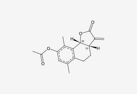 C=C1C(=O)O[C@H]2c3c(C)c(OC(C)=O)cc(C)c3CC[C@@H]12